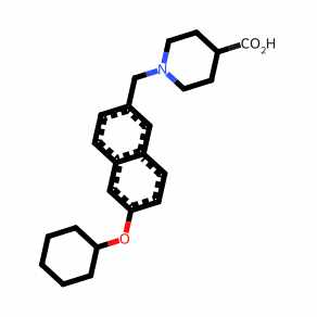 O=C(O)C1CCN(Cc2ccc3cc(OC4CCCCC4)ccc3c2)CC1